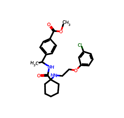 COC(=O)c1ccc(C(C)NC(=O)C2(NCCOc3cccc(Cl)c3)CCCCC2)cc1